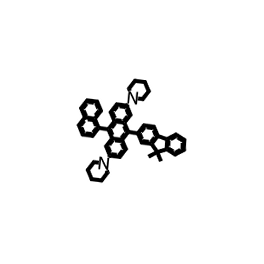 CC1(C)c2ccccc2-c2ccc(-c3c4cc(N5CCCCC5)ccc4c(-c4cccc5ccccc45)c4cc(N5CCCCC5)ccc34)cc21